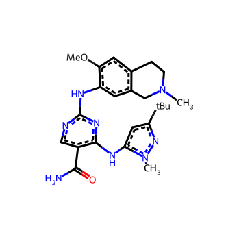 COc1cc2c(cc1Nc1ncc(C(N)=O)c(Nc3cc(C(C)(C)C)nn3C)n1)CN(C)CC2